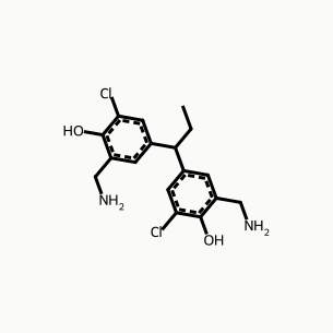 CCC(c1cc(Cl)c(O)c(CN)c1)c1cc(Cl)c(O)c(CN)c1